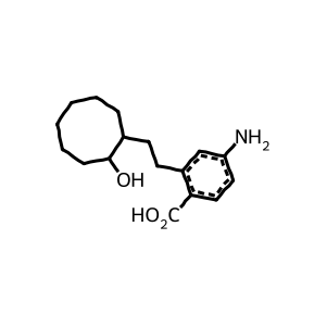 Nc1ccc(C(=O)O)c(CCC2CCCCCCC2O)c1